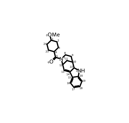 COC1CCC(C(=O)N2CCC3CC2C=C2c4ccccc4NC23)CC1